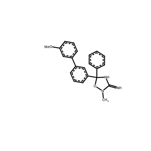 COc1cccc(-c2cccc(C3(c4ccccc4)NC(=N)N(C)O3)c2)c1